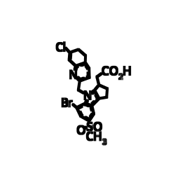 CS(=O)(=O)c1cc(Br)c2c(c1)c1c(n2Cc2ccc3c(n2)C=C(Cl)CC3)C(CC(=O)O)CC1